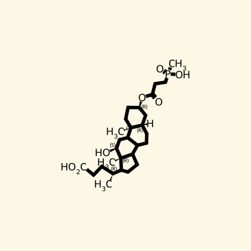 C[C@H](CCC(=O)O)C1CCC2C3CC[C@@H]4C[C@H](OC(=O)CCP(C)(=O)O)CC[C@]4(C)C3C[C@H](O)[C@@]21C